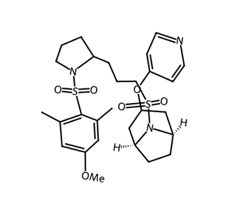 COc1cc(C)c(S(=O)(=O)N2CCCC2CCCS(=O)(=O)N2[C@@H]3CC[C@H]2CC(Oc2ccncc2)C3)c(C)c1